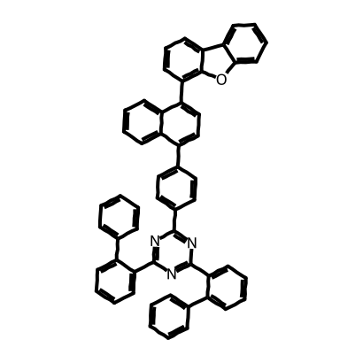 c1ccc(-c2ccccc2-c2nc(-c3ccc(-c4ccc(-c5cccc6c5oc5ccccc56)c5ccccc45)cc3)nc(-c3ccccc3-c3ccccc3)n2)cc1